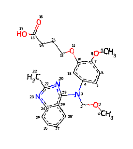 COCN(c1ccc(OC)c(OCCCC(=O)O)c1)c1nc(C)nc2ccccc12